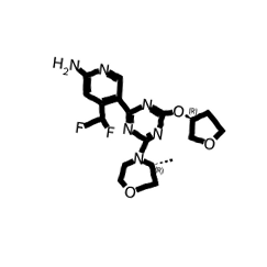 C[C@@H]1COCCN1c1nc(O[C@@H]2CCOC2)nc(-c2cnc(N)cc2C(F)F)n1